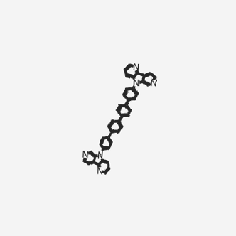 c1cnc2c3ccncc3n(-c3ccc(-c4ccc(-c5ccc(-c6ccc(-n7c8cnccc8c8ncccc87)cc6)cc5)cc4)cc3)c2c1